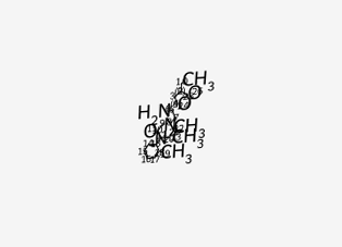 CC[C@@H]1C[C@@H](C(N)CN2CC(=O)N(c3ccccc3C)CC2(C)C)OC1=O